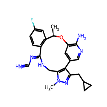 C[C@H]1Oc2cc(cnc2N)-c2c(CC3CC3)nn(C)c2CN/C(=N\C=N)c2ccc(F)cc21